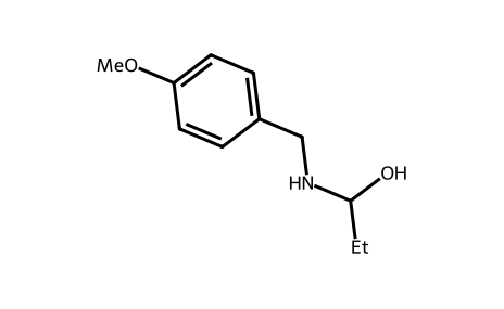 CCC(O)NCc1ccc(OC)cc1